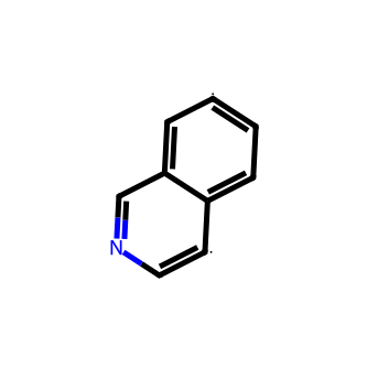 [c]1ccc2[c]cncc2c1